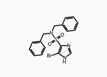 O=S(=O)(c1nc[nH]c1Br)N(Cc1ccccc1)Cc1ccccc1